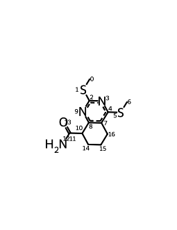 CSc1nc(SC)c2c(n1)C(C(N)=O)CCC2